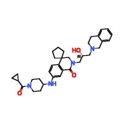 O=C1c2cc(NC3CCN(C(=O)C4CC4)CC3)ccc2C2(CCCC2)CN1C[C@H](O)CN1CCc2ccccc2C1